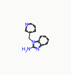 Nc1nc2ccccc2n1Cc1cccnc1